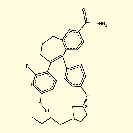 CCOc1ccc(C2=C(c3ccc(O[C@H]4CCN(CCCF)C4)cc3)c3ccc(C(N)=O)cc3CCC2)c(F)n1